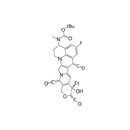 CC[C@@]1(O)C(=C=O)OCC2=C1C=C1C3=C(CN1C2=C=O)N1CCC(N(C)C(=O)OC(C)(C)C)c2cc(F)cc(c21)C3=C=O